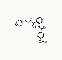 COc1ccc(C(=O)Nc2cnccc2C(=O)NCCN2CCOCC2)cc1